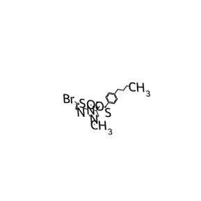 CCCCc1ccc(C(=S)OC2CN(C)C[N+]2([O-])c2ncc(Br)s2)cc1